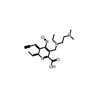 C#C/C=c1/c(N=O)c(CN(CC)CCN(C)C)c(C(=O)O)n/c1=C/C